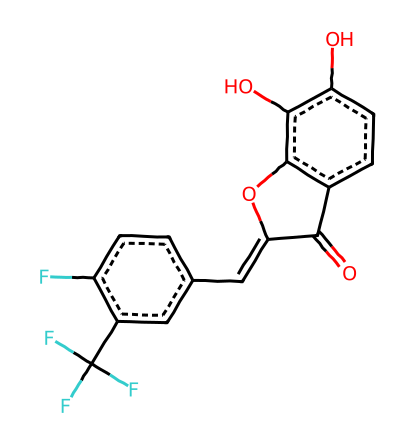 O=C1C(=Cc2ccc(F)c(C(F)(F)F)c2)Oc2c1ccc(O)c2O